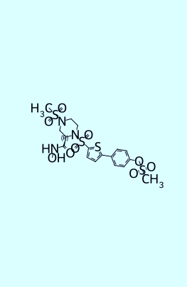 CS(=O)(=O)Oc1ccc(-c2ccc(S(=O)(=O)N3CCN(S(C)(=O)=O)C[C@@H]3C(=O)NO)s2)cc1